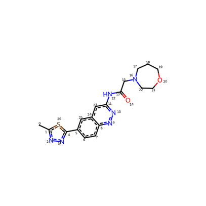 Cc1nnc(-c2ccc3nnc(NC(=O)CN4CCCOCC4)cc3c2)s1